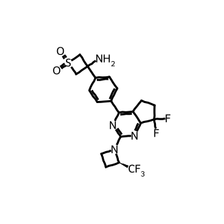 NC1(c2ccc(-c3nc(N4CC[C@@H]4C(F)(F)F)nc4c3CCC4(F)F)cc2)CS(=O)(=O)C1